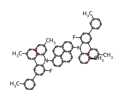 Cc1cccc(-c2cc(F)c(N(c3cccc(C)c3)c3ccc4ccc5c(N(c6cccc(C)c6)c6c(F)cc(-c7cccc(C)c7)cc6-c6cccc(C)c6)ccc6ccc3c4c65)c(-c3cccc(C)c3)c2)c1